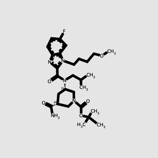 COCCCCn1c(C(=O)N(CC(C)C)[C@H]2C[C@@H](C(N)=O)CN(C(=O)OC(C)(C)C)C2)nc2ccc(F)cc21